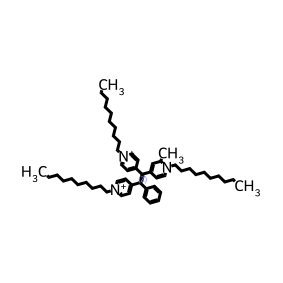 CCCCCCCCCCN1C=CC(/C(=C(\c2ccccc2)c2cc[n+](CCCCCCCCCC)cc2)c2cc[n+](CCCCCCCCCC)cc2)=CC1C